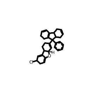 ClC1C=C2C(=CC1)O[C@H]1C=C(C3(c4ccccc4)C4=C(C=CCC4)C4CC=CCC43)CCC21